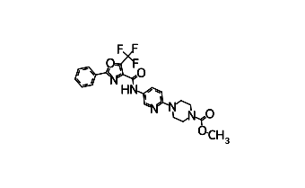 COC(=O)N1CCN(c2ccc(NC(=O)c3nc(-c4ccccc4)oc3C(F)(F)F)cn2)CC1